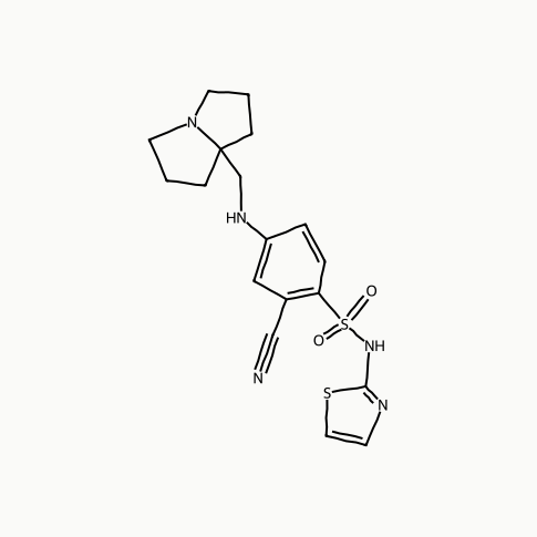 N#Cc1cc(NCC23CCCN2CCC3)ccc1S(=O)(=O)Nc1nccs1